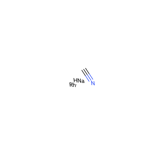 C#N.[NaH].[Rh]